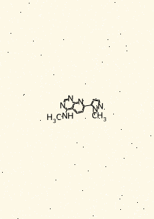 CNc1ncnc2nc(-c3ccnn3C)ccc12